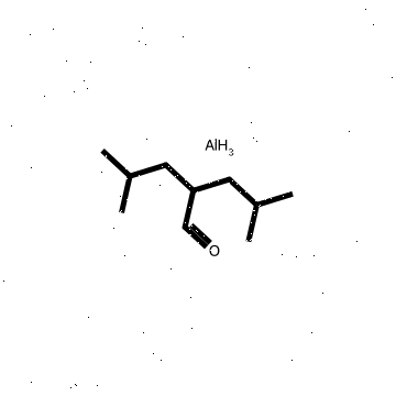 CC(C)CC(C=O)CC(C)C.[AlH3]